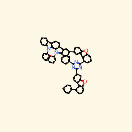 c1ccc(-c2nc(-c3ccc4c(c3)oc3cccc(-c5ccccc5)c34)nc(-c3cccc4oc5ccc(-c6ccc7c(c6)c6ccc8c9ccccc9n(-c9ccccc9)c8c6n7-c6ccccc6)cc5c34)n2)cc1